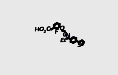 CC/C(=N\OCCOc1cccc(CC(=O)O)c1F)c1ccc(-c2cccs2)cc1